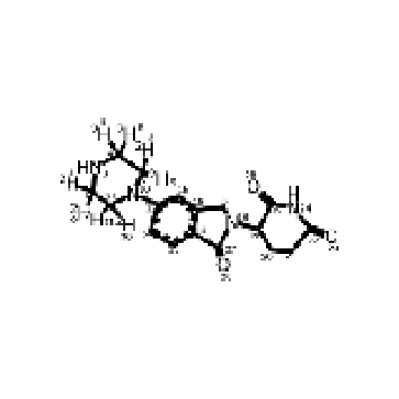 [2H]C1([2H])NC([2H])([2H])C([2H])([2H])N(c2ccc3c(c2)CN(C2CCC(=O)NC2=O)C3=O)C1([2H])[2H]